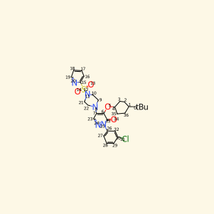 CC(C)(C)C1CCC(Oc2c(N3CCN(S(=O)(=O)c4ccccn4)CC3)cnn(-c3cccc(Cl)c3)c2=O)CC1